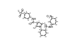 Cc1cc(C(=O)Nc2ccc(S(C)(=O)=O)cc2)c(C)n1-c1ccccc1C(=O)Nc1cccc([N+](=O)[O-])c1